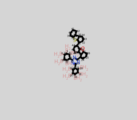 Bc1c(B)c(B)c(-c2nc(-c3c(B)c(B)c(B)c(B)c3B)nc(-c3cccc4oc5c(-c6cccc7c6sc6ccccc67)cccc5c34)n2)c(B)c1B